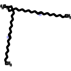 CCCCCCCC/C=C/CCCCCCCC1(CCCCCCC/C=C/CCCCCCCC)CN(C)C1